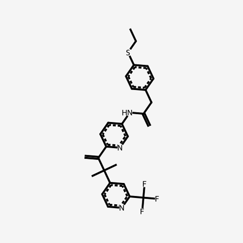 C=C(Cc1ccc(SCC)cc1)Nc1ccc(C(=C)C(C)(C)c2ccnc(C(F)(F)F)c2)nc1